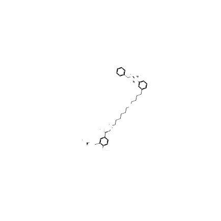 CC(=O)OCc1cc([C@@H](O)CNCCCCCCOCCCCc2cccc(S(=O)(=O)NCc3ccccc3)c2)ccc1O